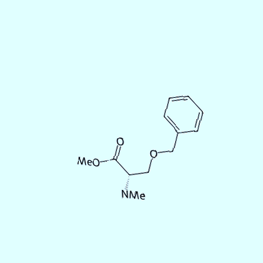 CN[C@@H](COCc1ccccc1)C(=O)OC